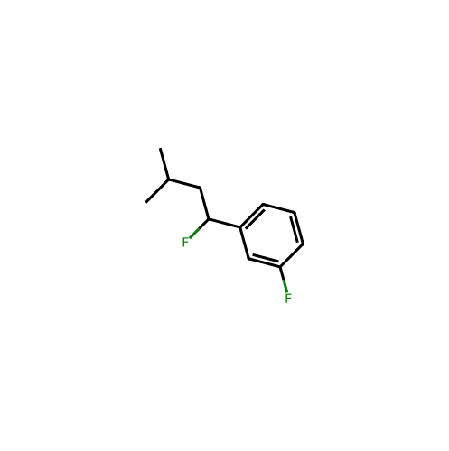 CC(C)CC(F)c1cccc(F)c1